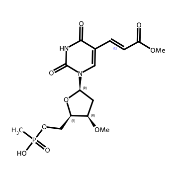 COC(=O)/C=C/c1cn([C@H]2C[C@@H](OC)[C@@H](COP(C)(=O)O)O2)c(=O)[nH]c1=O